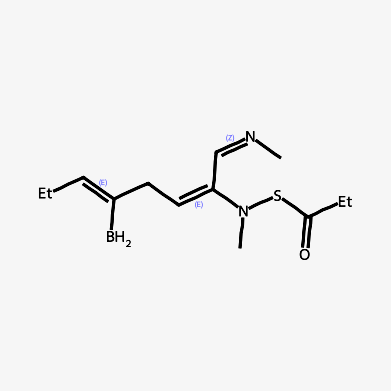 B/C(=C\CC)C/C=C(\C=N/C)N(C)SC(=O)CC